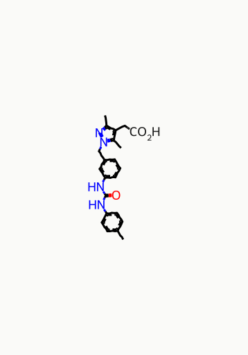 Cc1ccc(NC(=O)Nc2cccc(Cn3nc(C)c(CC(=O)O)c3C)c2)cc1